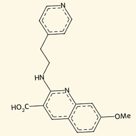 COc1ccc2cc(C(=O)O)c(NCCc3ccncc3)nc2c1